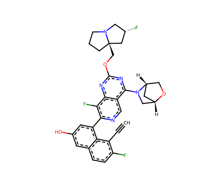 C#Cc1c(F)ccc2cc(O)cc(-c3ncc4c(N5C[C@@H]6C[C@H]5CO6)nc(OC[C@@]56CCCN5C[C@H](F)C6)nc4c3F)c12